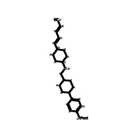 CCCCCc1ccc(C2CCC(COC3CCC(C=CC=CC#N)CC3)CC2)cc1